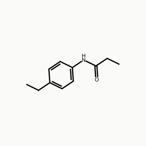 C[CH]c1ccc(NC(=O)CC)cc1